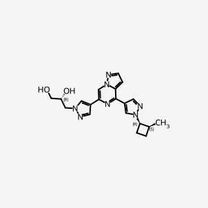 C[C@H]1CC[C@H]1n1cc(-c2nc(-c3cnn(C[C@@H](O)CO)c3)cn3nccc23)cn1